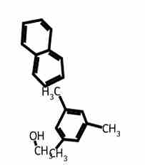 CO.Cc1cc(C)cc(C)c1.c1ccc2ccccc2c1